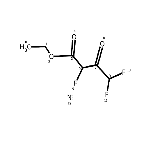 CCOC(=O)C(F)C(=O)C(F)F.[N]